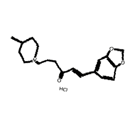 CC1CCN(CCC(=O)C=Cc2ccc3c(c2)OCO3)CC1.Cl